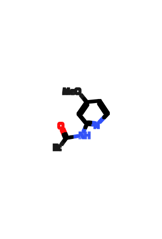 CCC(=O)Nc1cc(OC)ccn1